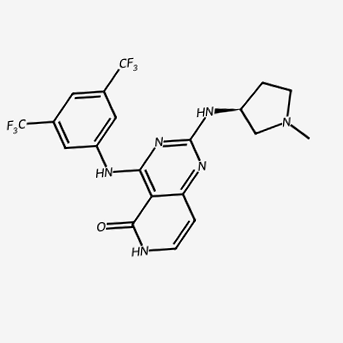 CN1CC[C@H](Nc2nc(Nc3cc(C(F)(F)F)cc(C(F)(F)F)c3)c3c(=O)[nH]ccc3n2)C1